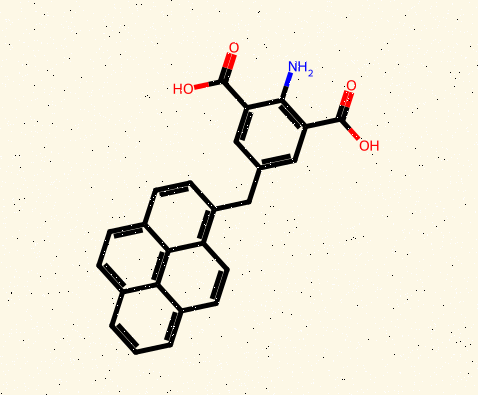 Nc1c(C(=O)O)cc(Cc2ccc3ccc4cccc5ccc2c3c45)cc1C(=O)O